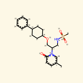 Cc1ccc(=O)n(C(CNS(C)(=O)=O)COC2CCC(c3ccccc3)CC2)c1